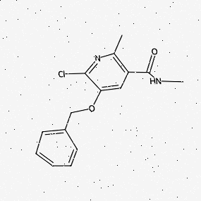 CNC(=O)c1cc(OCc2ccccc2)c(Cl)nc1C